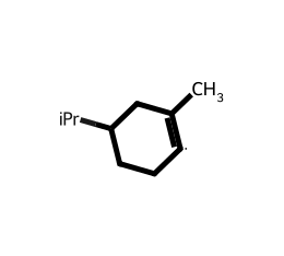 CC1=[C]CCC(C(C)C)C1